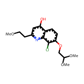 COCCc1cc(O)c2ccc(OCC(OC)OC)c(Cl)c2n1